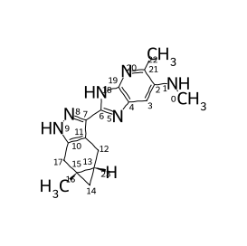 CNc1cc2nc(-c3n[nH]c4c3C[C@@H]3C[C@]3(C)C4)[nH]c2nc1C